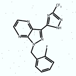 Fc1ccccc1Cn1nc(-c2nc(C(F)(F)F)n[nH]2)c2nccnc21